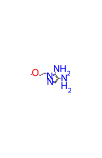 COCCn1ncc(N)c1N